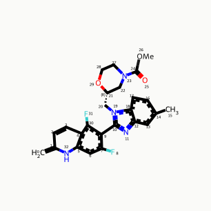 C=C1C=Cc2c(cc(F)c(-c3nc4cc(C)ccc4n3C[C@H]3CN(C(=O)OC)CCO3)c2F)N1